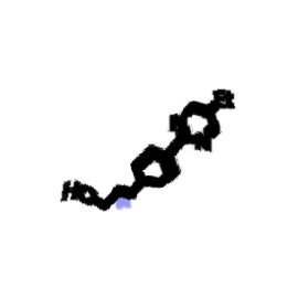 CCc1cnc(-c2ccc(/C=C/CO)cc2)nc1